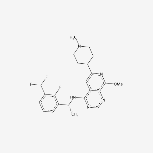 COc1nc(C2CCN(C)CC2)cc2c(N[C@H](C)c3cccc(C(F)F)c3F)ncnc12